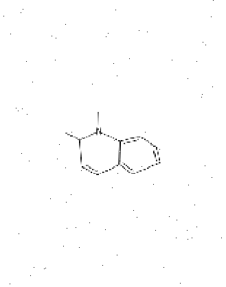 CC1C=Cc2ccccc2N1C